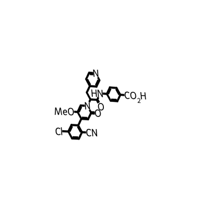 COc1cn(C(Cc2ccncc2)C(=O)Nc2ccc(C(=O)O)cc2)c(=O)cc1-c1cc(Cl)ccc1C#N